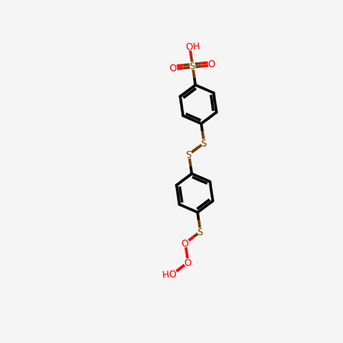 O=S(=O)(O)c1ccc(SSc2ccc(SOOO)cc2)cc1